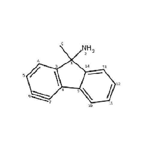 CC1(N)c2ccc#cc2-c2ccccc21